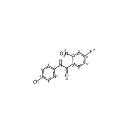 O=C(Nc1ccc(Cl)cn1)c1ccc(F)cc1[N+](=O)[O-]